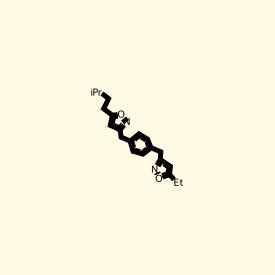 CCc1cc(Cc2ccc(Cc3cc(CCC(C)C)on3)cc2)no1